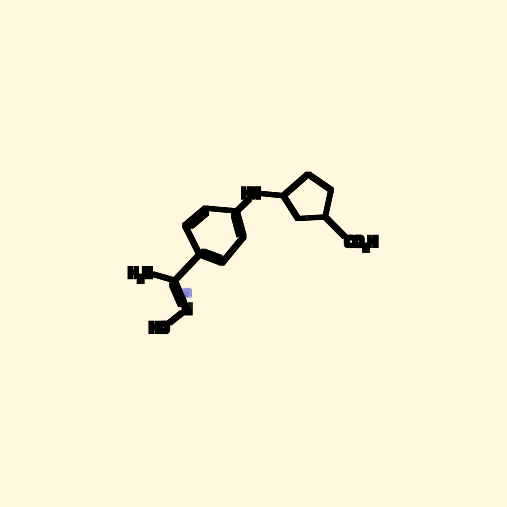 N/C(=N\O)c1ccc(NC2CCC(C(=O)O)C2)cc1